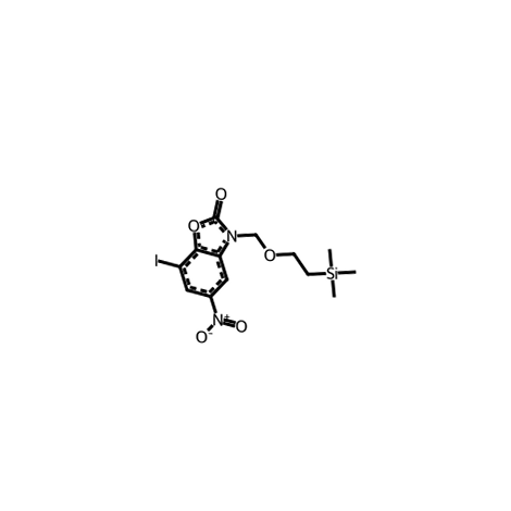 C[Si](C)(C)CCOCn1c(=O)oc2c(I)cc([N+](=O)[O-])cc21